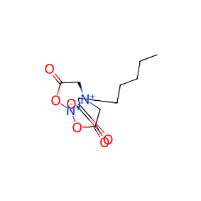 CCCCCC1C(=O)O[N@+]23OC(=O)C[N@+]12CC(=O)O3